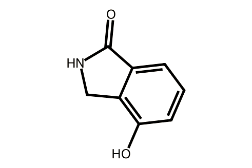 O=C1NCc2c(O)cccc21